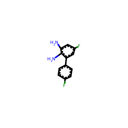 Nc1cc(F)cc(-c2ccc(F)cc2)c1N